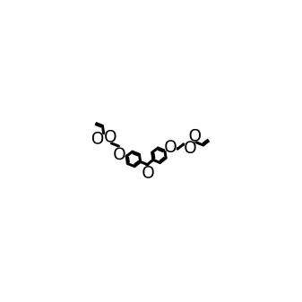 C=CC(=O)OCCOc1ccc(C(=O)c2ccc(OCCOC(=O)C=C)cc2)cc1